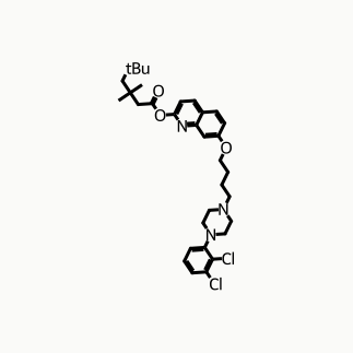 CC(C)(C)CC(C)(C)CC(=O)Oc1ccc2ccc(OCCCCN3CCN(c4cccc(Cl)c4Cl)CC3)cc2n1